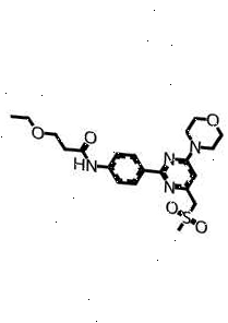 CCOCCC(=O)Nc1ccc(-c2nc(CS(C)(=O)=O)cc(N3CCOCC3)n2)cc1